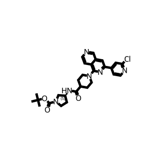 CC(C)(C)OC(=O)N1CC[C@H](NC(=O)C2CCN(c3nc(-c4ccnc(Cl)c4)cc4cnccc34)CC2)C1